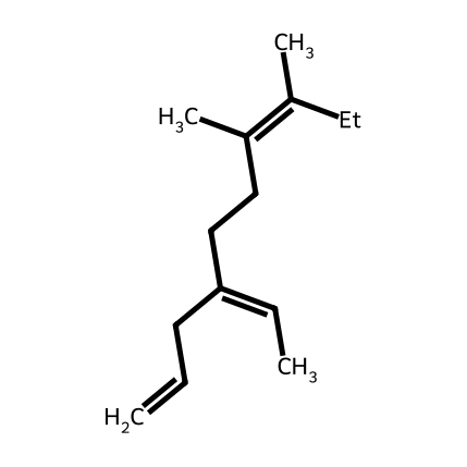 C=CCC(=CC)CCC(C)=C(C)CC